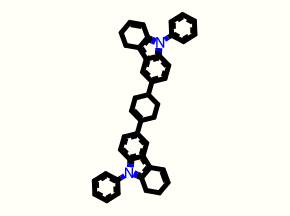 C1=Cc2c(c3cc(C4CC=C(c5ccc6c(c5)c5c(n6-c6ccccc6)CCC=C5)CC4)ccc3n2-c2ccccc2)CC1